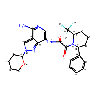 Nc1ncc(NC(=O)C(=O)N2[C@H](c3ccccc3)CCC[C@@H]2C(F)(F)F)c2nn(C3CCCCO3)cc12